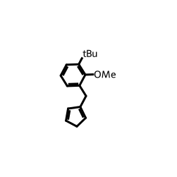 COc1c(CC2=CCC=C2)cccc1C(C)(C)C